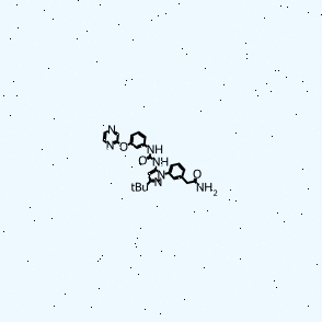 CC(C)(C)c1cc(NC(=O)Nc2cccc(Oc3cnccn3)c2)n(-c2cccc(CC(N)=O)c2)n1